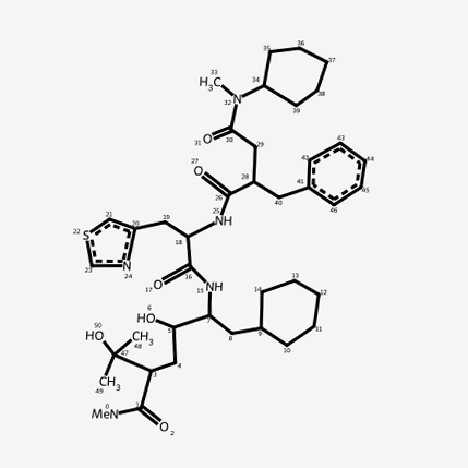 CNC(=O)C(CC(O)C(CC1CCCCC1)NC(=O)C(Cc1cscn1)NC(=O)C(CC(=O)N(C)C1CCCCC1)Cc1ccccc1)C(C)(C)O